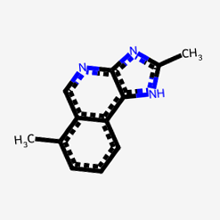 Cc1nc2ncc3c(C)cccc3c2[nH]1